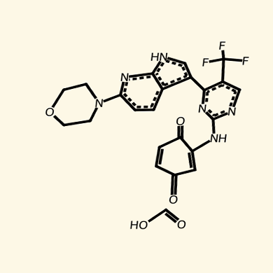 O=C1C=CC(=O)C(Nc2ncc(C(F)(F)F)c(-c3c[nH]c4nc(N5CCOCC5)ccc34)n2)=C1.O=CO